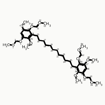 COCOc1cc(OC)c(OCOC)c(CCCCCCCCCCCCc2c(OC)c(OCOC)cc(OC)c2OCOC)c1OC